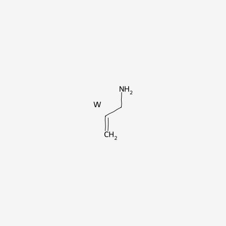 C=CCN.[W]